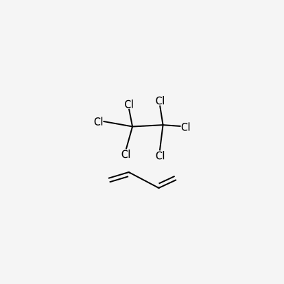 C=CC=C.ClC(Cl)(Cl)C(Cl)(Cl)Cl